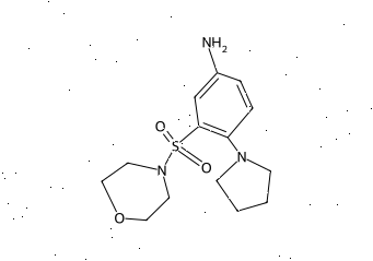 Nc1ccc(N2CCCC2)c(S(=O)(=O)N2CCOCC2)c1